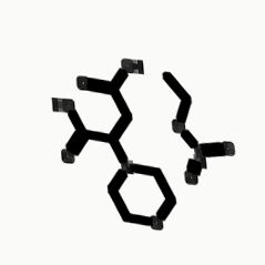 CCO[SH](=O)=O.O=C(O)CC(C(=O)O)N1CCOCC1